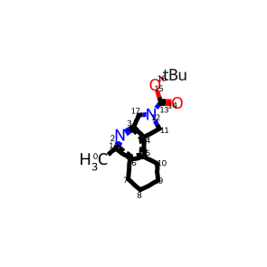 Cc1nc2c(c3c1CCCC3)CN(C(=O)OC(C)(C)C)C2